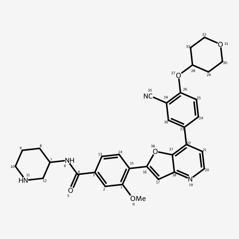 COc1cc(C(=O)NC2CCCNC2)ccc1-c1cc2nccc(-c3ccc(OC4CCOCC4)c(C#N)c3)c2o1